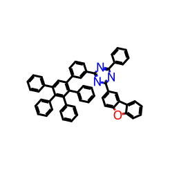 c1ccc(-c2nc(-c3cccc(-c4cc(-c5ccccc5)c(-c5ccccc5)c(-c5ccccc5)c4-c4ccccc4)c3)nc(-c3ccc4oc5ccccc5c4c3)n2)cc1